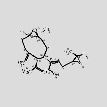 C=C1CC[C@@H]2O[C@@]2(C)CC[C@H](/C(=C/CC2OC2(C)C)CO)[C@H]1C(=O)OC